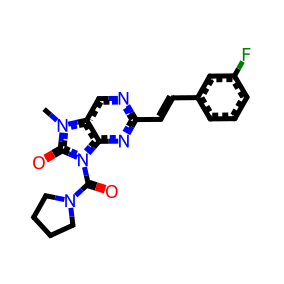 Cn1c(=O)n(C(=O)N2CCCC2)c2nc(/C=C/c3cccc(F)c3)ncc21